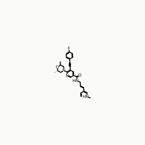 C=CC(/C=C/CNC(=O)c1cnc(N2CC(C)O[C@@H](C)C2)c(C#Cc2ccc(F)cc2)c1)=C\NC